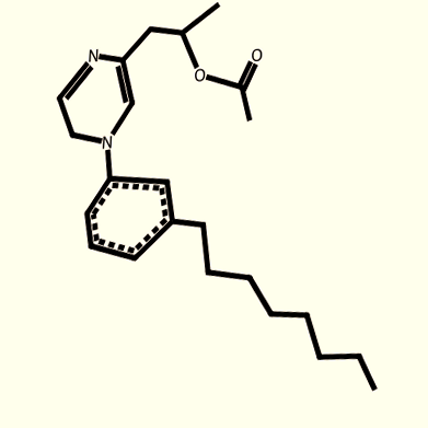 CCCCCCCCc1cccc(N2C=C(CC(C)OC(C)=O)N=CC2)c1